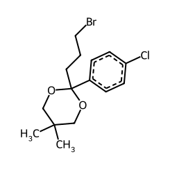 CC1(C)COC(CCCBr)(c2ccc(Cl)cc2)OC1